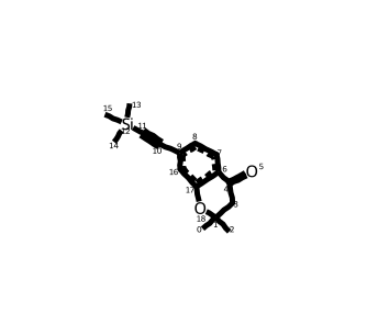 CC1(C)CC(=O)c2ccc(C#C[Si](C)(C)C)cc2O1